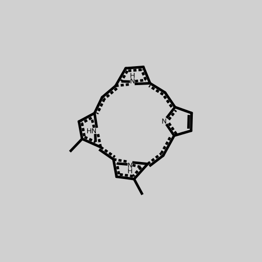 Cc1cc2[nH]c1cc1nc(cc3ccc(cc4cc(C)c2[nH]4)[nH]3)C=C1